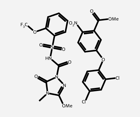 COC(=O)c1cc(Oc2ccc(Cl)cc2Cl)ccc1[N+](=O)[O-].COc1nn(C(=O)NS(=O)(=O)c2ccccc2OC(F)(F)F)c(=O)n1C